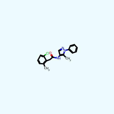 Cc1cccc(Cl)c1CC(=O)Nc1cnn(-c2ccccc2)c1C